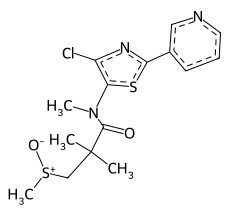 CN(C(=O)C(C)(C)C[S+](C)[O-])c1sc(-c2cccnc2)nc1Cl